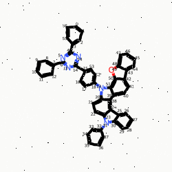 c1ccc(-c2nc(-c3ccccc3)nc(-c3ccc(-n4c5ccc6c(c7ccccc7n6-c6ccccc6)c5c5ccc6c7ccccc7oc6c54)cc3)n2)cc1